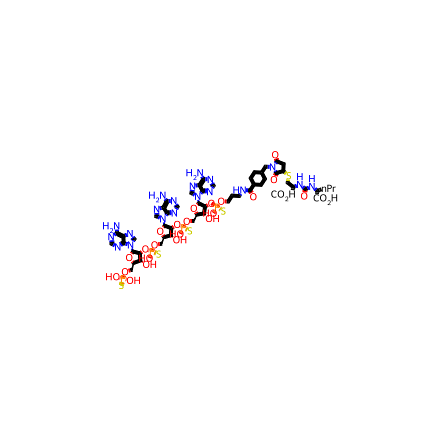 CCCC(NC(=O)NC(CSC1CC(=O)N(CC2CCC(C(=O)NCCCOP(O)(=S)OC3[C@@H](O)[C@@H](COP(O)(=S)OC4[C@@H](O)[C@@H](COP(O)(=S)OC5[C@@H](O)[C@@H](COP(O)(O)=S)O[C@H]5n5cnc6c(N)ncnc65)O[C@H]4n4cnc5c(N)ncnc54)O[C@H]3n3cnc4c(N)ncnc43)CC2)C1=O)C(=O)O)C(=O)O